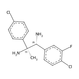 C[C@](N)(c1ccc(Cl)cc1)[C@H](N)c1ccc(Cl)c(F)c1